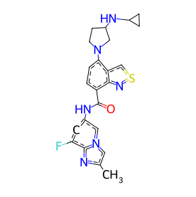 Cc1cn2cc(NC(=O)c3ccc(N4CCC(NC5CC5)C4)c4csnc34)cc(F)c2n1